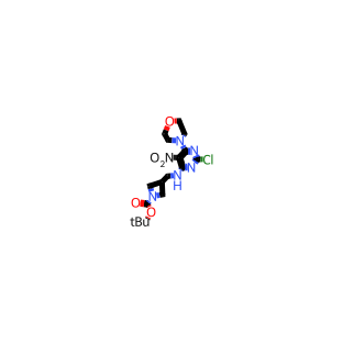 CC(C)(C)OC(=O)N1CC(CNc2nc(Cl)nc(N3CCOCC3)c2[N+](=O)[O-])C1